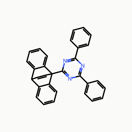 C1=CC2(c3nc(-c4ccccc4)nc(-c4ccccc4)n3)c3ccccc3C1c1ccccc12